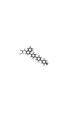 CCC(C)Cc1ccc(-c2ccc(-c3ccc(-c4ccc(F)cc4)cc3)cc2)c2ccccc12